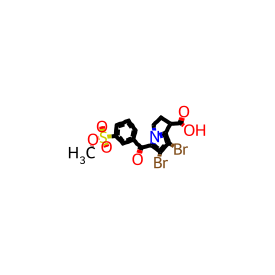 COS(=O)(=O)c1cccc(C(=O)c2c(Br)c(Br)c3n2CCC3C(=O)O)c1